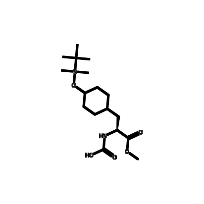 COC(=O)[C@H](CC1CCC(O[Si](C)(C)C(C)(C)C)CC1)NC(=O)O